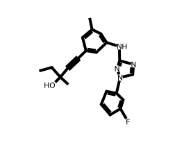 CCC(C)(O)C#Cc1cc(C)cc(Nc2ncn(-c3cccc(F)c3)n2)c1